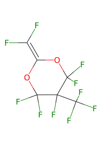 FC(F)=C1OC(F)(F)C(F)(C(F)(F)F)C(F)(F)O1